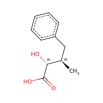 C[C@H](Cc1ccccc1)[C@@H](O)C(=O)O